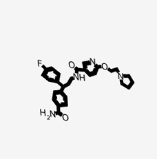 NC(=O)c1ccc(C(CCNC(=O)c2ccc(OCCN3CCCC3)nc2)c2ccc(F)cc2)cc1